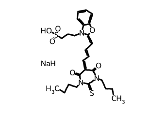 CCCCN1C(=O)C(=CC=CC=C2Oc3ccccc3N2CCCS(=O)(=O)O)C(=O)N(CCCC)C1=S.[NaH]